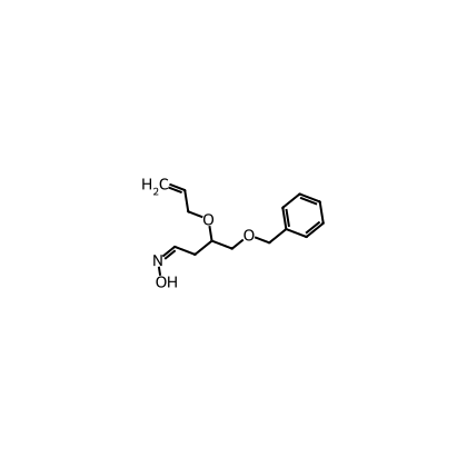 C=CCOC(C/C=N\O)COCc1ccccc1